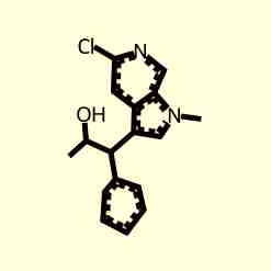 CC(O)C(c1ccccc1)c1cn(C)c2cnc(Cl)cc12